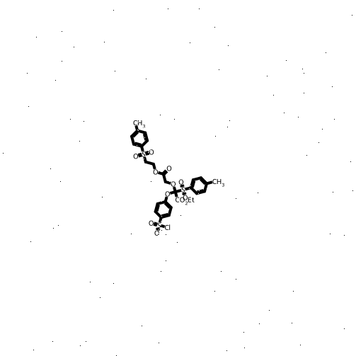 CCOC(=O)C(OCC(=O)OCCS(=O)(=O)c1ccc(C)cc1)(Oc1ccc(S(=O)(=O)Cl)cc1)S(=O)(=O)c1ccc(C)cc1